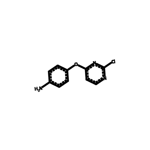 Nc1ccc(Oc2ccnc(Cl)n2)cc1